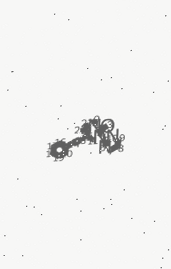 CN1C(=O)N(c2ncccn2)CC(C#Cc2ccccc2)C1(C)C